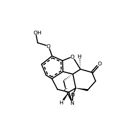 O=C1CC[C@]23OCN4CC[C@@]25c2c(ccc(OCO)c2O[C@@H]15)C[C@@H]43